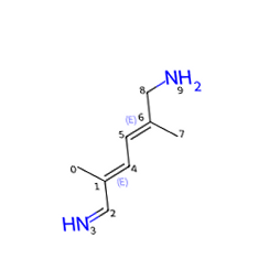 C/C(C=N)=C\C=C(/C)CN